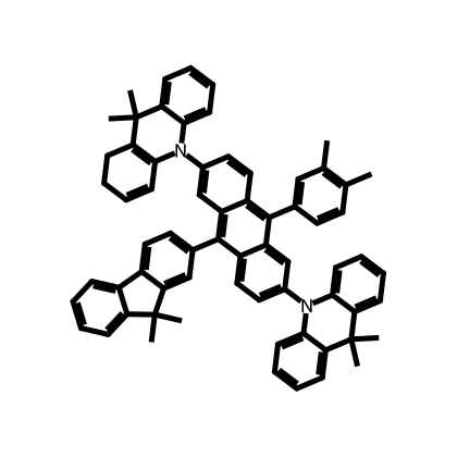 Cc1ccc(-c2c3ccc(N4C5=C(CCC=C5)C(C)(C)c5ccccc54)cc3c(-c3ccc4c(c3)C(C)(C)c3ccccc3-4)c3ccc(N4c5ccccc5C(C)(C)c5ccccc54)cc23)cc1C